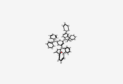 CC1CC(N(C2=CC(N3C4CC=C(C5CCCCC5)C=C4C4(CCCCC4)C3(C)C)CC(N(C3=CCCCC3)C3C=CC=CC3)C2)c2ccccc2C2C=CC=CC2)CS1